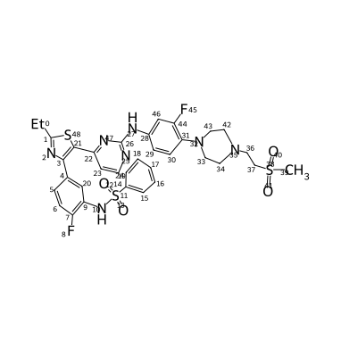 CCc1nc(-c2ccc(F)c(NS(=O)(=O)c3ccccc3)c2)c(-c2ccnc(Nc3ccc(N4CCN(CCS(C)(=O)=O)CC4)c(F)c3)n2)s1